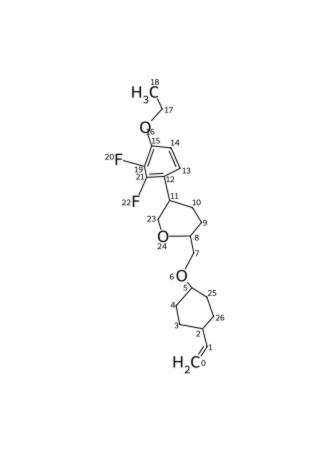 C=CC1CCC(OCC2CCC(c3ccc(OCC)c(F)c3F)CO2)CC1